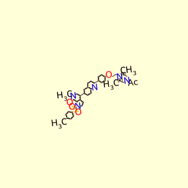 CC(=O)N1C[C@@H](C)N(CCOc2ccc(-c3ccc4cc(-c5cn(C)c(=O)c6c5ccn6S(=O)(=O)c5ccc(C)cc5)ccc4n3)cc2)[C@@H](C)C1